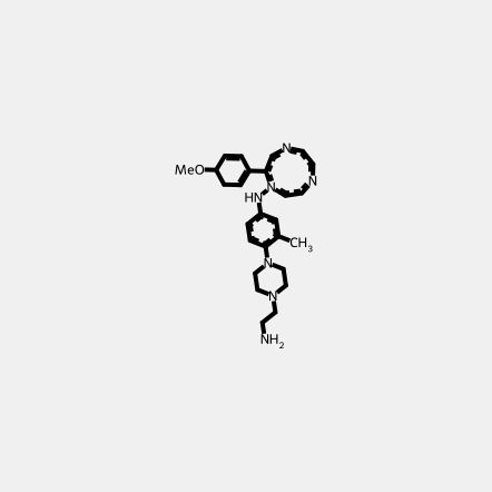 COC1C=CC(c2cnccnccn2Nc2ccc(N3CCN(CCN)CC3)c(C)c2)=CC1